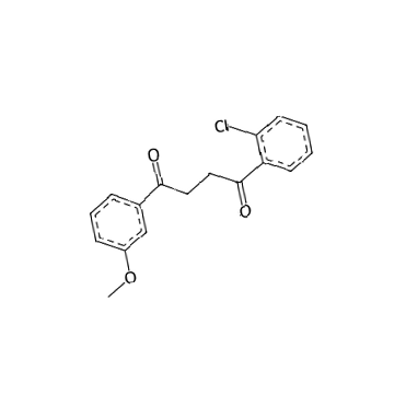 COc1cccc(C(=O)CCC(=O)c2ccccc2Cl)c1